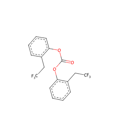 O=C(Oc1ccccc1CC(F)(F)F)Oc1ccccc1CC(F)(F)F